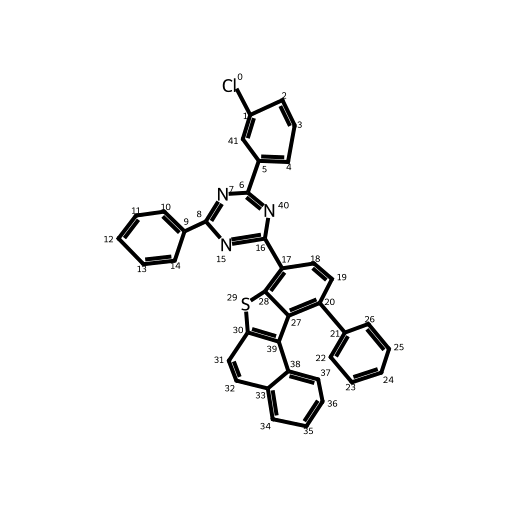 Clc1cccc(-c2nc(-c3ccccc3)nc(-c3ccc(-c4ccccc4)c4c3sc3ccc5ccccc5c34)n2)c1